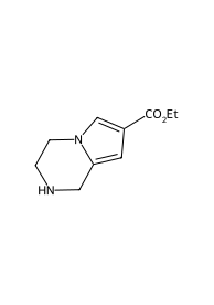 CCOC(=O)c1cc2n(c1)CCNC2